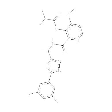 COc1ccnc(C(=O)N[C@@H](C)c2nnc(-c3cc(C)cc(C)c3)s2)c1OC(=O)C(C)C